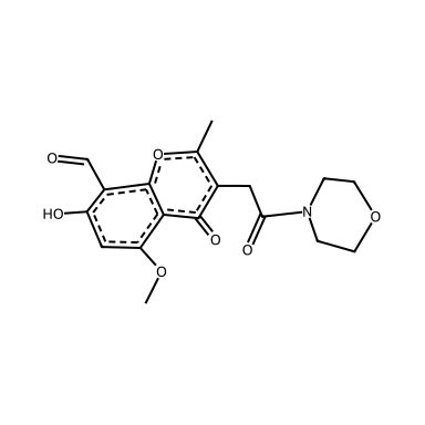 COc1cc(O)c(C=O)c2oc(C)c(CC(=O)N3CCOCC3)c(=O)c12